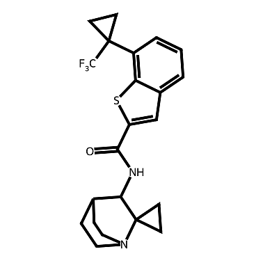 O=C(NC1C2CCN(CC2)C12CC2)c1cc2cccc(C3(C(F)(F)F)CC3)c2s1